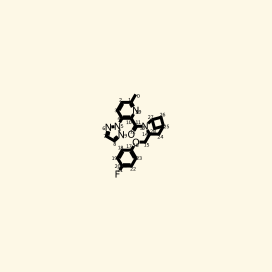 Cc1ccc(-n2nccn2)c(C(=O)N2C(COc3ccc(F)cc3)CC3CC2C3)n1